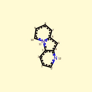 [c]1ccc2c(cc3ccccn32)n1